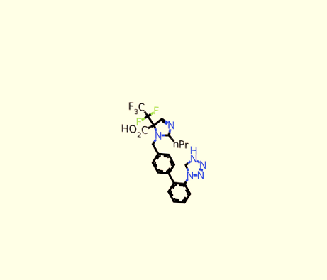 CCCC1N=CC(C(=O)O)(C(F)(F)C(F)(F)F)N1Cc1ccc(-c2ccccc2N2CNN=N2)cc1